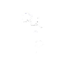 O=C(NCc1ccc(Br)cc1)c1ccc2ncccc2c1